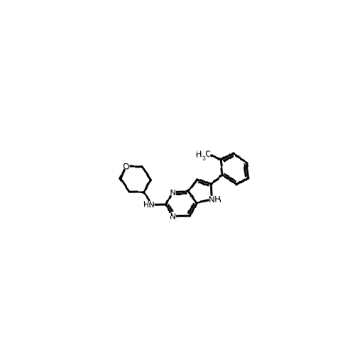 Cc1ccccc1-c1cc2nc(NC3CCOCC3)ncc2[nH]1